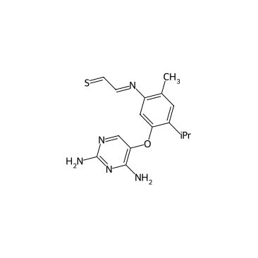 Cc1cc(C(C)C)c(Oc2cnc(N)nc2N)cc1N=CC=S